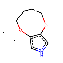 c1[nH]cc2c1OCCCCO2